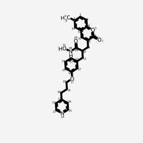 Cc1ccc2oc(=O)c(CC(Cc3cccc(OCCCc4ccncc4)c3)C(=O)NO)cc2c1